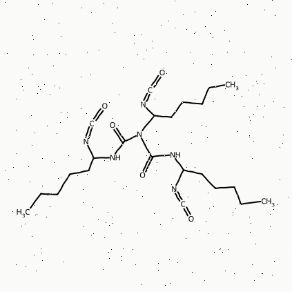 CCCCCC(N=C=O)NC(=O)N(C(=O)NC(CCCCC)N=C=O)C(CCCCC)N=C=O